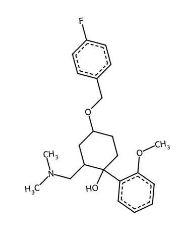 COc1ccccc1C1(O)CCC(OCc2ccc(F)cc2)CC1CN(C)C